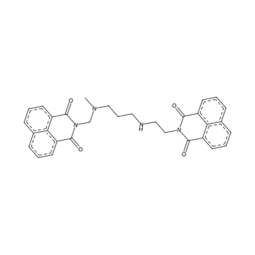 CN(CCCNCCN1C(=O)c2cccc3cccc(c23)C1=O)CN1C(=O)c2cccc3cccc(c23)C1=O